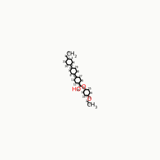 C=CC1CCC(C2CCC(C3CCC(C(O)OC4CCC(OCC)CC4)CC3)CC2)CC1